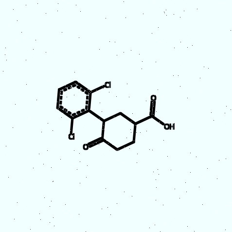 O=C(O)C1CCC(=O)C(c2c(Cl)cccc2Cl)C1